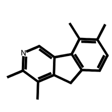 Cc1ccc2c(c1C)-c1cnc(C)c(C)c1C2